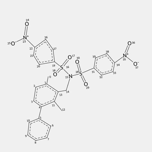 Cc1ccc(-c2ccccc2)c(C)c1CN(S(=O)(=O)c1ccc([N+](=O)[O-])cc1)S(=O)(=O)c1ccc([N+](=O)[O-])cc1